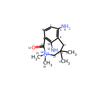 CC1(C)Cc2c(N)ccc(c2N)C(=O)[N+](C)(C)C1